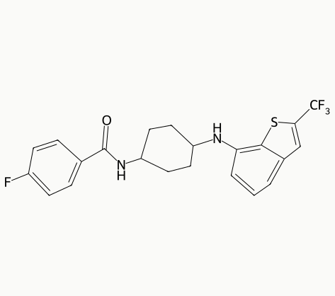 O=C(NC1CCC(Nc2cccc3cc(C(F)(F)F)sc23)CC1)c1ccc(F)cc1